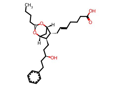 CCCCB1O[C@H]2C[C@@H](O1)[C@H](CC[C@@H](O)CCc1ccccc1)[C@H]2CC=CCCCC(=O)O